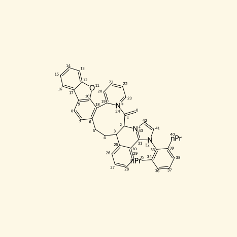 C=C1C2C(CCc3ccc4c(oc5ccccc54)c3-c3cccc[n+]31)c1ccccc1-c1n(-c3c(CCC)cccc3CCC)cc[n+]12